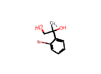 CC(O)(CO)c1ccccc1Br